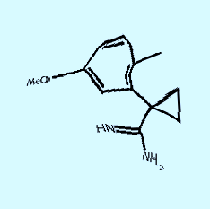 COc1ccc(C)c(C2(C(=N)N)CC2)c1